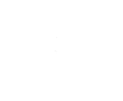 CCC(=O)ONC(=O)C(=O)O